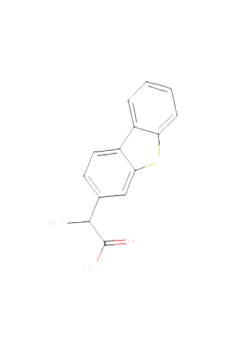 CC(C(=O)O)c1ccc2c(c1)sc1ccccc12